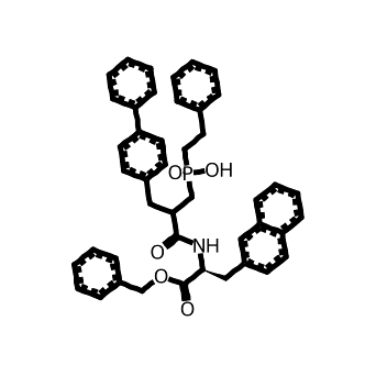 O=C(N[C@@H](Cc1ccc2ccccc2c1)C(=O)OCc1ccccc1)C(Cc1ccc(-c2ccccc2)cc1)CP(=O)(O)CCc1ccccc1